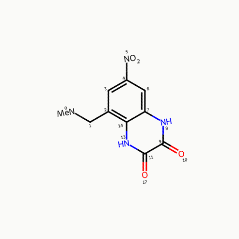 [CH2]NCc1cc([N+](=O)[O-])cc2[nH]c(=O)c(=O)[nH]c12